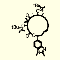 Cc1nc2cc([C@@H]3C/C=C/CCC[C@H](C)[C@H](O[Si](C)(C)C(C)(C)C)[C@@H](C)C(=O)C(C)(C)[C@@H](O[Si](C)(C)C(C)(C)C)CC(=O)O3)ccc2n1C